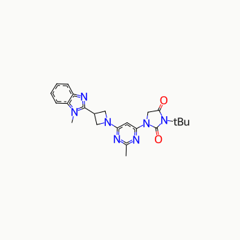 Cc1nc(N2CC(c3nc4ccccc4n3C)C2)cc(N2CC(=O)N(C(C)(C)C)C2=O)n1